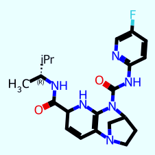 CC(C)[C@@H](C)NC(=O)C1C=CC2=C(N1)N(C(=O)Nc1ccc(F)cn1)C1CCN2C1